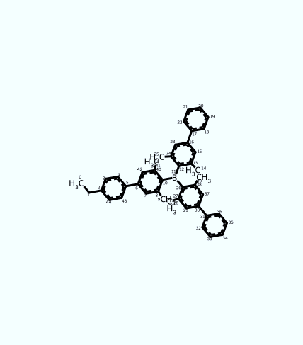 CCc1ccc(-c2cc(C)c(B(c3c(C)cc(-c4ccccc4)cc3C)c3c(C)cc(-c4ccccc4)cc3C)c(C)c2)cc1